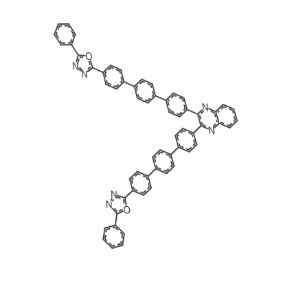 c1ccc(-c2nnc(-c3ccc(-c4ccc(-c5ccc(-c6nc7ccccc7nc6-c6ccc(-c7ccc(-c8ccc(-c9nnc(-c%10ccccc%10)o9)cc8)cc7)cc6)cc5)cc4)cc3)o2)cc1